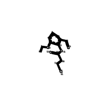 CCOc1cccc(C=O)c1OC(=O)CCCl